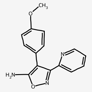 COc1ccc(-c2c(-c3ccccn3)noc2N)cc1